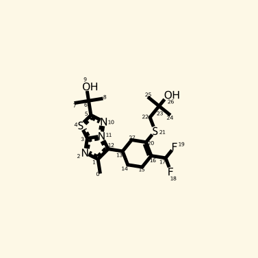 Cc1nc2sc(C(C)(C)O)nn2c1C1CCC(C(F)F)=C(SCC(C)(C)O)C1